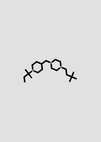 CCC(C)(C)N1CCC(CN2CCN(CCC(C)(C)C)CC2)CC1